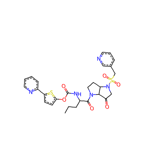 CCCC(NC(=O)Oc1ccc(-c2ccccn2)s1)C(=O)N1CCC2C1C(=O)CN2S(=O)(=O)Cc1cccnc1